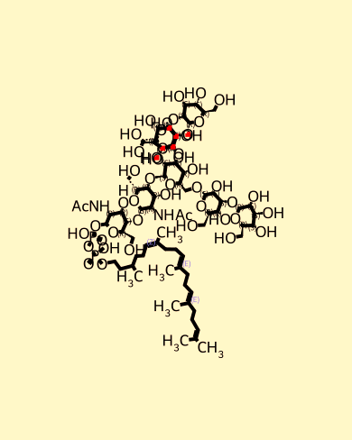 CC(=O)N[C@H]1[C@H](O[C@H]2[C@H](O)[C@@H](NC(C)=O)C(OP(=O)(O)OP(=O)(O)OCCC(C)CC/C=C(/C)CC/C=C(\C)CC/C=C(\C)CCC=C(C)C)O[C@@H]2CO)O[C@H](CO)[C@@H](O[C@@H]2O[C@H](CO[C@H]3O[C@H](CO)[C@@H](O)[C@H](O[C@H]4O[C@H](CO)[C@@H](O)[C@H](O)[C@@H]4O)[C@@H]3O)[C@@H](O)[C@H](O[C@H]3O[C@H](CO)[C@@H](O)[C@H](O)[C@@H]3O[C@H]3O[C@H](CO)[C@@H](O)[C@H](O)[C@@H]3O[C@H]3O[C@H](CO)[C@@H](O)[C@H](O)[C@@H]3O)[C@@H]2O)[C@@H]1O